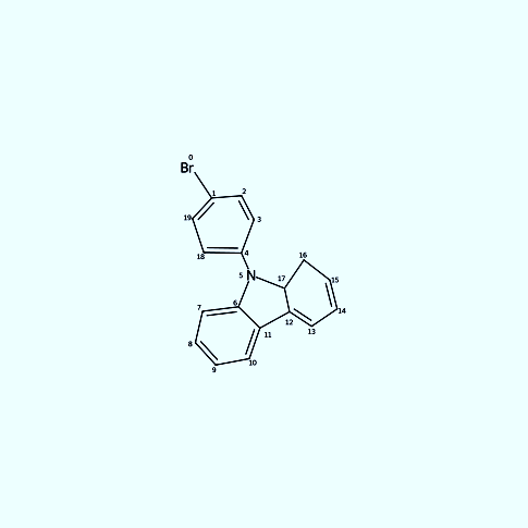 Brc1ccc(N2c3ccccc3C3=CC=CCC32)cc1